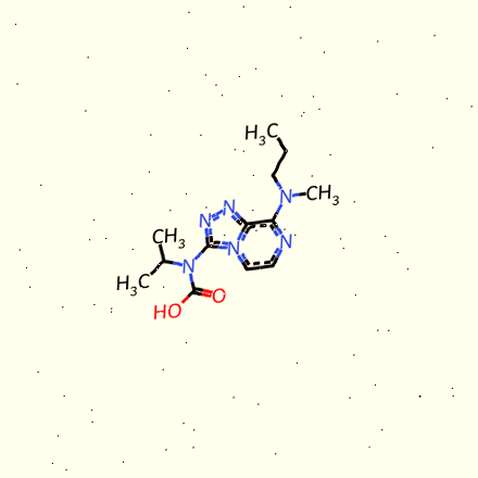 CCCN(C)c1nccn2c(N(C(=O)O)C(C)C)nnc12